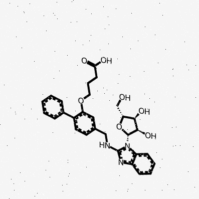 O=C(O)CCCOc1cc(CNc2nc3ccccc3n2[C@@H]2O[C@H](CO)[C@@H](O)[C@H]2O)ccc1-c1ccccc1